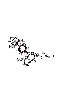 BC(B)(c1ccc(OC)nc1)N1C2CC1CN(c1ccc(-c3cc(OCC(C)(C)O)cn4ncc(C#N)c34)cn1)C2